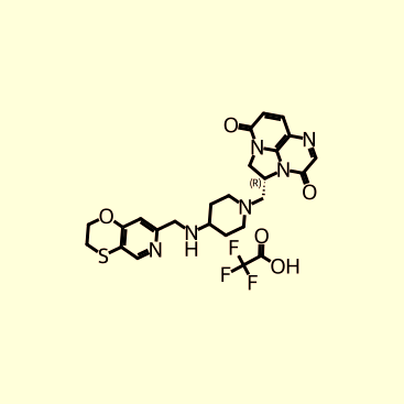 O=C(O)C(F)(F)F.O=c1ccc2ncc(=O)n3c2n1C[C@H]3CN1CCC(NCc2cc3c(cn2)SCCO3)CC1